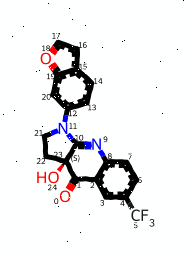 O=C1c2cc(C(F)(F)F)ccc2N=C2N(c3ccc4ccoc4c3)CC[C@@]12O